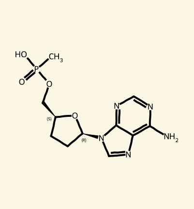 CP(=O)(O)OC[C@@H]1CC[C@H](n2cnc3c(N)ncnc32)O1